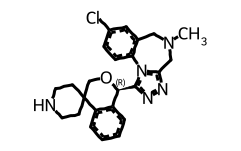 CN1Cc2cc(Cl)ccc2-n2c(nnc2[C@@H]2OCC3(CCNCC3)c3ccccc32)C1